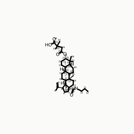 C=C(C)[C@@H]1CC[C@]2(C(=O)NCCC)CC[C@]3(C)[C@H](CC[C@@H]4[C@@]5(C)CC[C@H](OC(=O)CC(C)(C)C(=O)O)C(C)(C)[C@@H]5CC[C@]43C)[C@@H]12